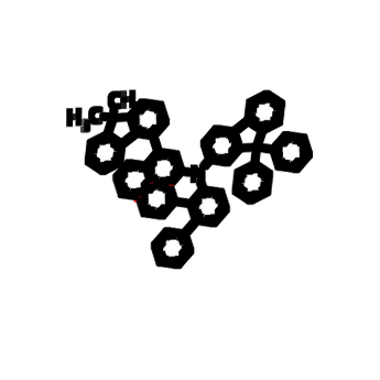 CC1(C)c2ccccc2-c2c(-c3cc(N(c4ccc5c(c4)C(c4ccccc4)(c4ccccc4)c4ccccc4-5)c4cccc(-c5ccccc5)c4-c4ccccc4)cc4ccccc34)cccc21